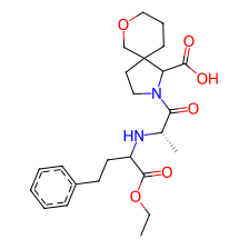 CCOC(=O)C(CCc1ccccc1)N[C@@H](C)C(=O)N1CCC2(CCCOC2)C1C(=O)O